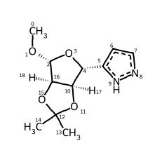 CO[C@@H]1O[C@H](c2ccn[nH]2)[C@H]2OC(C)(C)O[C@@H]12